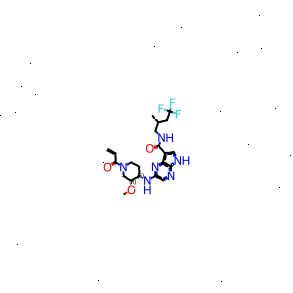 C=CC(=O)N1CC[C@H](Nc2cnc3[nH]cc(C(=O)NCC(C)CC(F)(F)F)c3n2)[C@H](OC)C1